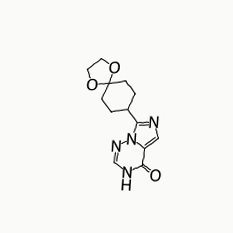 O=c1[nH]cnn2c(C3CCC4(CC3)OCCO4)ncc12